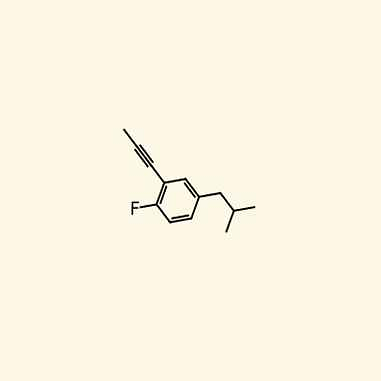 CC#Cc1cc(CC(C)C)ccc1F